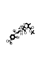 CO[C@@]1(NC=C[S+]([O-])c2ccc([N+](=O)[O-])cc2Br)C(=O)N2C(C(=O)OC(C)(C)C)=C(C)CS[C@H]21